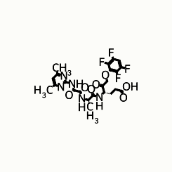 Cc1cc(C)nc(NC(=O)C(=O)N[C@@H](C)C(=O)N[C@@H](CCC(=O)O)C(=O)COc2c(F)c(F)cc(F)c2F)n1